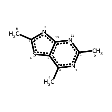 Cc1nc(C)c2sc(C)nc2n1